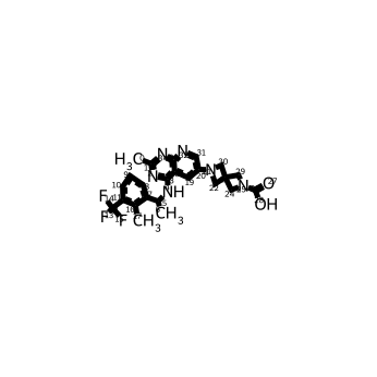 Cc1nc(NC(C)c2cccc(C(F)(F)F)c2C)c2cc(N3CC4(CN(C(=O)O)C4)C3)cnc2n1